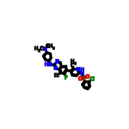 CCc1c(F)c(-c2ccc(NS(=O)(=O)c3ccccc3Cl)nc2C)cc2cnc(N[C@H]3CC[C@H](N(C)C)CC3)nc12